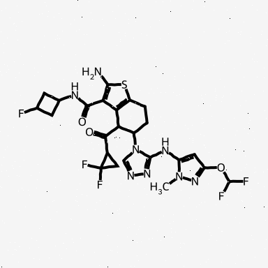 Cn1nc(OC(F)F)cc1Nc1nncn1C1CCc2sc(N)c(C(=O)NC3CC(F)C3)c2C1C(=O)C1CC1(F)F